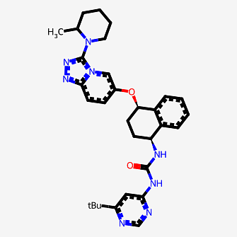 CC1CCCCN1c1nnc2ccc(O[C@@H]3CC[C@H](NC(=O)Nc4cc(C(C)(C)C)ncn4)c4ccccc43)cn12